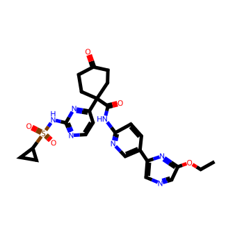 CCOc1cncc(-c2ccc(NC(=O)C3(c4ccnc(NS(=O)(=O)C5CC5)n4)CCC(=O)CC3)nc2)n1